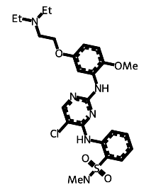 CCN(CC)CCOc1ccc(OC)c(Nc2ncc(Cl)c(Nc3ccccc3S(=O)(=O)NC)n2)c1